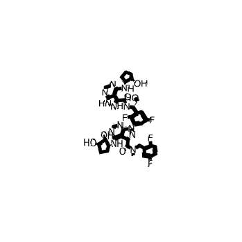 CN(Cc1cc(F)ccc1F)C(=O)c1nn(-c2cc(F)cc([C@@H](CO)NC(=O)c3n[nH]c4ncnc(N[C@@H]5CCC[C@H]5O)c34)c2F)c2ncnc(N[C@@H]3CC[C@@H](O)[C@H]3O)c12